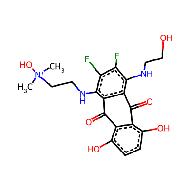 C[N+](C)(O)CCNc1c(F)c(F)c(NCCO)c2c1C(=O)c1c(O)ccc(O)c1C2=O